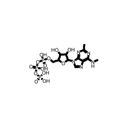 CNc1nc(C)nc2c1ncn2C1OC(COP(=O)(O)OP(=O)(O)OP(=O)(O)O)C(O)C1O